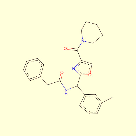 Cc1cccc(C(NC(=O)Cc2ccccc2)c2nc(C(=O)N3CCCCC3)co2)c1